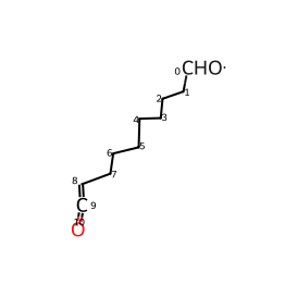 O=[C]CCCCCCCC=C=O